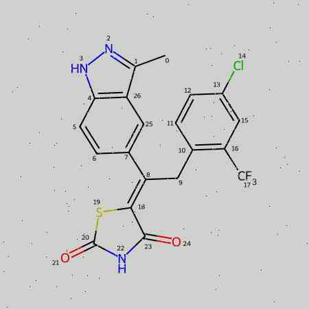 Cc1n[nH]c2ccc(/C(Cc3ccc(Cl)cc3C(F)(F)F)=C3\SC(=O)NC3=O)cc12